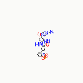 CN(C)CCN1CCN(C(=O)c2ccc3c(c2)NC(=O)c2ccc(-c4ccccc4N(C)S(C)(=O)=O)cc2N3)CC1